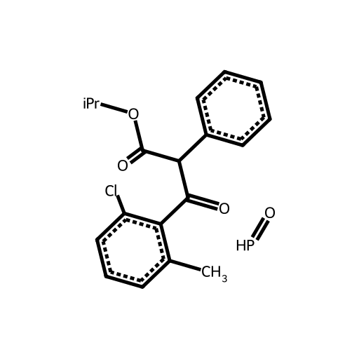 Cc1cccc(Cl)c1C(=O)C(C(=O)OC(C)C)c1ccccc1.O=P